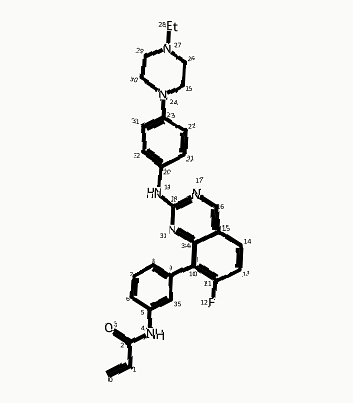 C=CC(=O)Nc1cccc(-c2c(F)ccc3cnc(Nc4ccc(N5CCN(CC)CC5)cc4)nc23)c1